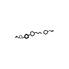 C=CCOCc1ccc(C2CCC(CCCC[C@H]3CC[C@H](CC=C)CC3)CC2)cc1